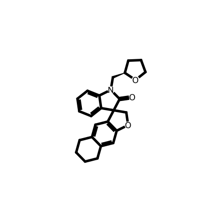 O=C1N(C[C@H]2CCCO2)c2ccccc2C12COc1cc3c(cc12)CCCC3